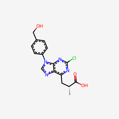 C[C@H](Cc1nc(Cl)nc2c1ncn2-c1ccc(CO)cc1)C(=O)O